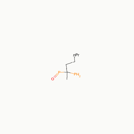 CCCCCC(C)(P)P=O